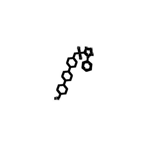 CCCC1CCC(C2CCC(C3CCC(CS(=O)(=O)c4nnnn4-c4ccccc4)CC3)CC2)CC1